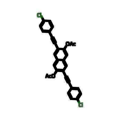 CC(=O)Oc1cc2cc(C#Cc3ccc(Cl)cc3)c(OC(C)=O)cc2cc1C#Cc1ccc(Cl)cc1